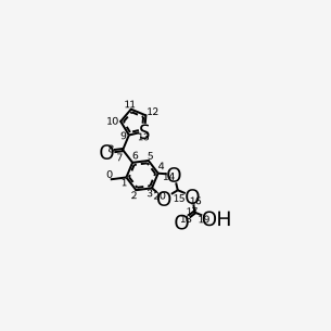 Cc1cc2c(cc1C(=O)c1cccs1)OC(OC(=O)O)O2